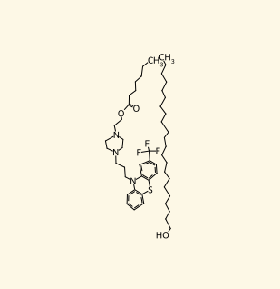 CCCCCCC(=O)OCCN1CCN(CCCN2c3ccccc3Sc3ccc(C(F)(F)F)cc32)CC1.CCCCCCCCCCCCCCCCCCCCCCO